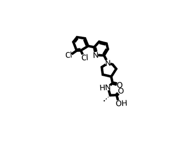 C[C@H](NC(=O)C1CCN(c2cccc(-c3cccc(Cl)c3Cl)n2)CC1)C(=O)O